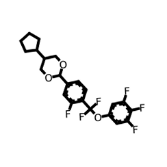 Fc1cc(C2OCC(C3CCCC3)CO2)ccc1C(F)(F)Oc1cc(F)c(F)c(F)c1